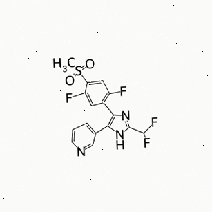 CS(=O)(=O)c1cc(F)c(-c2nc(C(F)F)[nH]c2-c2cccnc2)cc1F